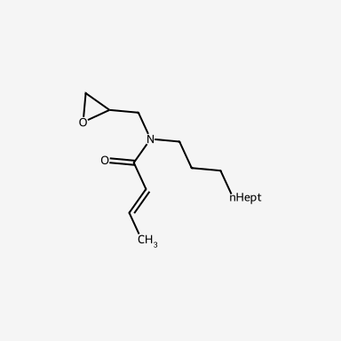 CC=CC(=O)N(CCCCCCCCCC)CC1CO1